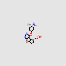 CCC1(N(C)C)CCC(Oc2ncnc3sc4c(c23)[C@@H](CCO)CC4)CC1